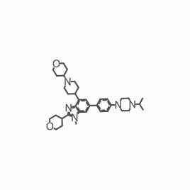 CC(C)N1CCN(c2ccc(-c3cc(C4CCN(C5CCOCC5)CC4)c4nc(C5CCOCC5)n(C)c4c3)cc2)CC1